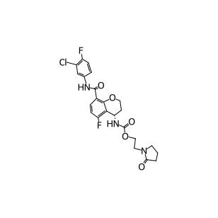 O=C(N[C@H]1CCOc2c(C(=O)Nc3ccc(F)c(Cl)c3)ccc(F)c21)OCCN1CCCC1=O